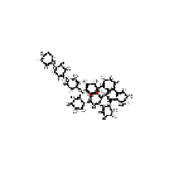 c1ccc(-c2ccc(-c3ccc(N(c4ccccc4)c4ccc(-c5cccc6c5c(-c5ccccc5)c(-c5ccccc5)c5ccccc56)cc4)cc3)cc2)cc1